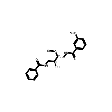 CCO[C@H](CNC(=O)c1cccc(OC)c1)[C@@H](O)CNC(=O)c1ccccc1